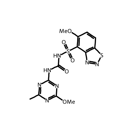 COc1nc(C)nc(NC(=O)NS(=O)(=O)c2c(OC)ccc3snnc23)n1